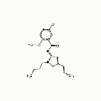 CCCCN1CC(CCC)SC1=NC(=O)c1cc(Cl)ccc1OC